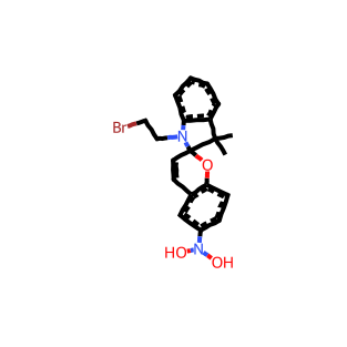 CC1(C)c2ccccc2N(CCBr)C12C=Cc1cc(N(O)O)ccc1O2